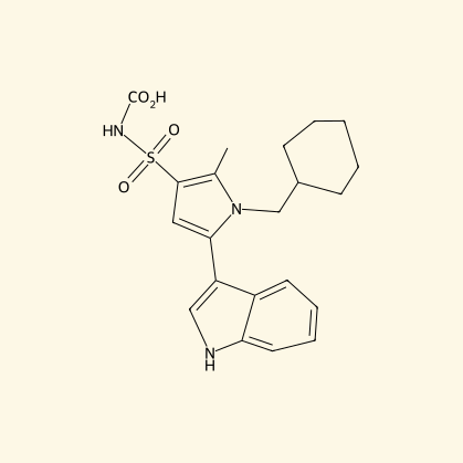 Cc1c(S(=O)(=O)NC(=O)O)cc(-c2c[nH]c3ccccc23)n1CC1CCCCC1